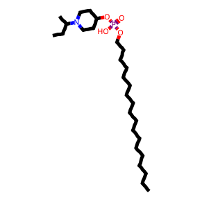 CCCCCCCCCCCCCCCCCCOP(=O)(O)OC1CCN(C(C)CC)CC1